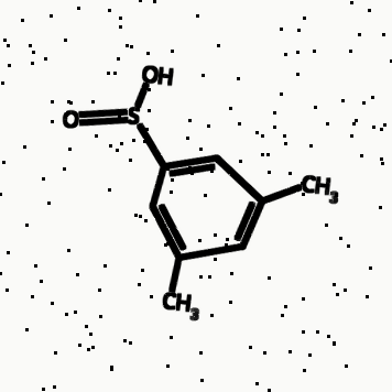 Cc1cc(C)cc(S(=O)O)c1